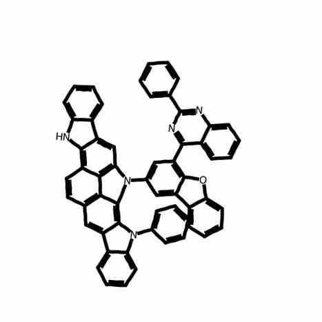 c1ccc(-c2nc(-c3cc(-n4c5cc6c7ccccc7[nH]c6c6ccc7cc8c9ccccc9n(-c9ccccc9)c8c4c7c65)cc4c3oc3ccccc34)c3ccccc3n2)cc1